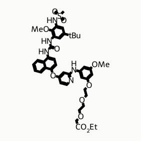 CCOC(=O)COCCOCCOc1cc(Nc2cc(Oc3ccc(NC(=O)Nc4cc(C(C)(C)C)cc(NS(C)(=O)=O)c4OC)c4ccccc34)ccn2)cc(OC)c1